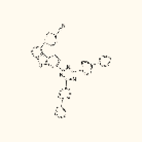 N#Cc1ccc(-c2cccc3oc4cc(-c5nc(-c6ccc(-c7ccccc7)cc6)nc(-c6ccc(-c7ccccc7)cc6)n5)ccc4c23)cc1